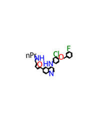 CCCNCc1ccc(-c2ccc3nccc(Nc4ccc(OCc5cccc(F)c5)c(Cl)c4)c3c2)o1